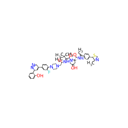 Cc1ncsc1-c1ccc([C@H](C)NC(=O)[C@@H]2C[C@@H](O)CN2C(=O)[C@@H](NC(=O)CN2CCN(c3ccc(-c4cnnc(-c5ccccc5O)c4)cc3F)CC2)C(C)(C)C)cc1